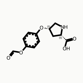 O=COc1ccc(O[C@@H]2CN[C@H](C(=O)O)C2)cc1